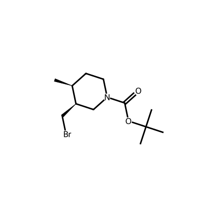 C[C@H]1CCN(C(=O)OC(C)(C)C)C[C@H]1CBr